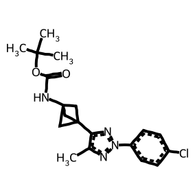 Cc1nn(-c2ccc(Cl)cc2)nc1C12CC(NC(=O)OC(C)(C)C)(C1)C2